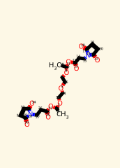 CC(OCCOCCOC(C)OC(=O)CCN1C(=O)C=CC1=O)OC(=O)CCN1C(=O)C=CC1=O